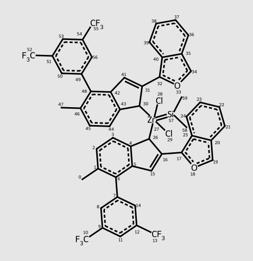 Cc1ccc2c(c1-c1cc(C(F)(F)F)cc(C(F)(F)F)c1)C=C(c1occ3ccccc13)[CH]2[Zr]([Cl])([Cl])([CH]1C(c2occ3ccccc23)=Cc2c1ccc(C)c2-c1cc(C(F)(F)F)cc(C(F)(F)F)c1)=[Si](C)C